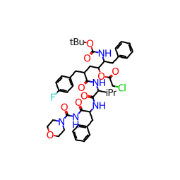 CC(C)C(NC(=O)C(Cc1ccc(F)cc1)CC(OC(=O)CCl)C(Cc1ccccc1)NC(=O)OC(C)(C)C)C(=O)NC(Cc1ccccc1)C(=O)NC(=O)N1CCOCC1